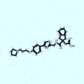 O=C(O)CC1(C(=O)NCc2nc(-c3ccc(OCCCN4CCCC4)cc3)cs2)Cc2ccccc2C1